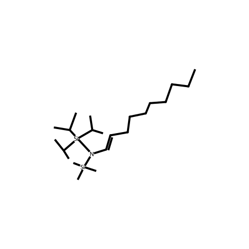 CCCCCCCCC=CN([Si](C)(C)C)[Si](C(C)C)(C(C)C)C(C)C